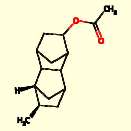 CC(=O)OC1CC2CC1C1C3C[C@@H](C)[C@@H](C3)C21